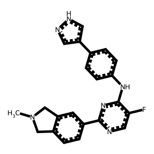 CN1Cc2ccc(-c3ncc(F)c(Nc4ccc(-c5cn[nH]c5)cc4)n3)cc2C1